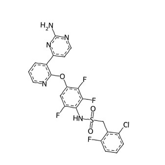 Nc1nccc(-c2cccnc2Oc2cc(F)c(NS(=O)(=O)Cc3c(F)cccc3Cl)c(F)c2F)n1